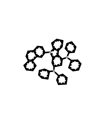 c1ccc(N(c2ccccc2)c2cc(N(c3ccccc3)c3ccccc3)c3c4ccccc4n(-c4ccc5ccc6ccccc6c5c4)c3c2)cc1